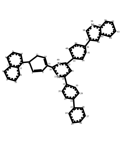 C1=CC(c2cccc3ccccc23)CC=C1c1nc(-c2ccc(-c3ccccc3)cc2)cc(-c2ccc(-c3cnc4ccccc4c3)cc2)n1